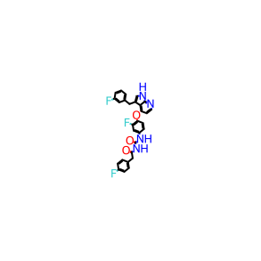 O=C(Cc1ccc(F)cc1)NC(=O)Nc1ccc(Oc2ccnc3[nH]cc(Cc4cccc(F)c4)c23)c(F)c1